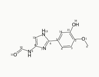 COc1ccc(-c2nc(NC=O)c[nH]2)cc1O